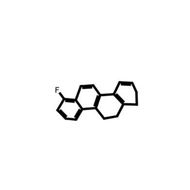 Fc1cccc2c3c(ccc12)C1=C(CCC=C1)CC3